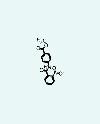 COC(=O)c1ccc(NC(=O)c2ccccc2[N+](=O)[O-])cc1